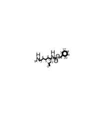 C=CC[C@H](CCCCNC)NC(=O)OCc1ccccc1